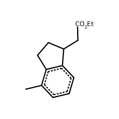 CCOC(=O)CC1CCc2c(C)cccc21